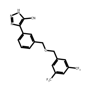 N#Cc1[nH]nnc1-c1cccc(COCc2cc(C(F)(F)F)cc(C(F)(F)F)c2)c1